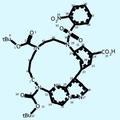 CC(C)(C)OC(=O)N1CCCN(C(=O)OC(C)(C)C)c2ccn3ncc(c3n2)-c2cc(C(=O)O)cc(c2)N(S(=O)(=O)c2ccccc2[N+](=O)[O-])CC1